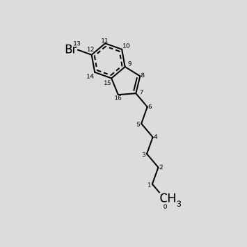 CCCCCCCC1=Cc2ccc(Br)cc2C1